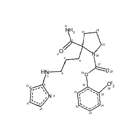 NC(=O)C1(CCCNc2nccs2)CCCN1C(=O)Oc1ccccc1C(F)(F)F